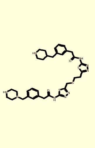 O=C(Cc1cccc(CC2CCNCC2)c1)Nc1nnc(CCSCc2nnc(NC(=O)Cc3cccc(CN4CCNCC4)c3)s2)s1